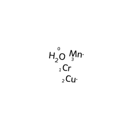 O.[Cr].[Cu].[Mn]